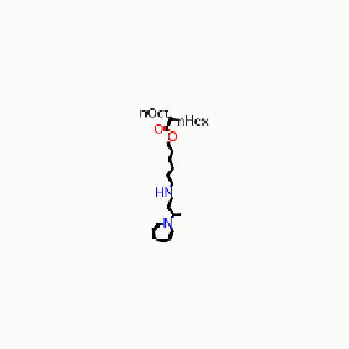 CCCCCCCCC(CCCCCC)C(=O)OCCCCCCNCCC(C)N1C=CCCC=C1